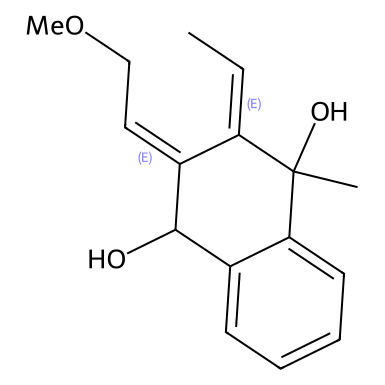 C/C=C1\C(=C/COC)C(O)c2ccccc2C1(C)O